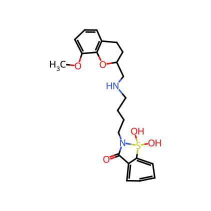 COc1cccc2c1OC(CNCCCCN1C(=O)c3ccccc3S1(O)O)CC2